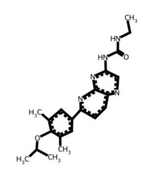 CCNC(=O)Nc1cnc2ccc(-c3cc(C)c(OC(C)C)c(C)c3)nc2n1